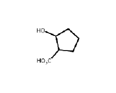 O=C(O)C1CCCC1O